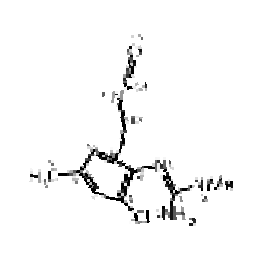 CNC(N)=Nc1c(Cl)cc(C)cc1CN=C=O